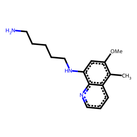 COc1cc(NCCCCCN)c2ncccc2c1C